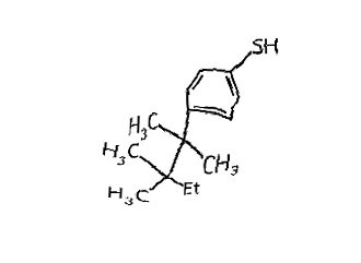 CCC(C)(C)C(C)(C)c1ccc(S)cc1